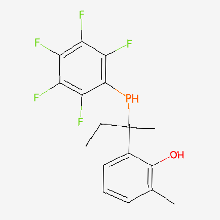 CCC(C)(Pc1c(F)c(F)c(F)c(F)c1F)c1cccc(C)c1O